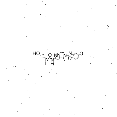 COc1ccc2oc(N3CCn4nc(NC(=O)N[C@H]5C[C@@H](O)C5)cc4C3C)nc2c1